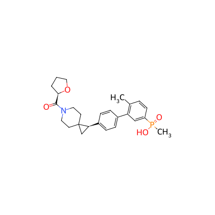 Cc1ccc(P(C)(=O)O)cc1-c1ccc([C@H]2CC23CCN(C(=O)[C@H]2CCCO2)CC3)cc1